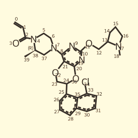 C=CC(=O)N1CCN(c2nc(OCC3CCCN3C)nc3c2OCC(c2cccc4cccc(Cl)c24)O3)C[C@H]1C